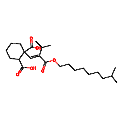 CC(C)CCCCCCCOC(=O)C(=CC1(C(=O)O)CCCCC1C(=O)O)C(C)C